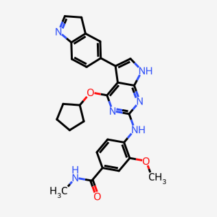 CNC(=O)c1ccc(Nc2nc(OC3CCCC3)c3c(-c4ccc5c(c4)CC=N5)c[nH]c3n2)c(OC)c1